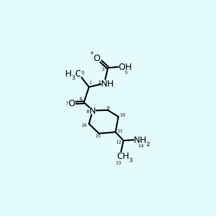 CC(NC(=O)O)C(=O)N1CCC(C(C)N)CC1